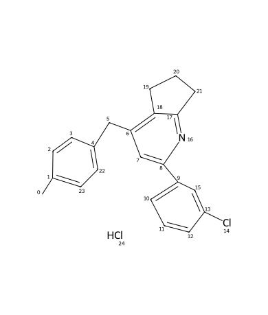 Cc1ccc(Cc2cc(-c3cccc(Cl)c3)nc3c2CCC3)cc1.Cl